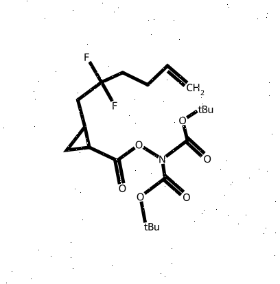 C=CCCC(F)(F)CC1CC1C(=O)ON(C(=O)OC(C)(C)C)C(=O)OC(C)(C)C